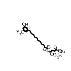 Cc1cc(CCCCCCCCCCC(=O)N[C@@H](CCC(=O)C(C)(C)C)C(=O)O)cc(C(F)(F)F)c1